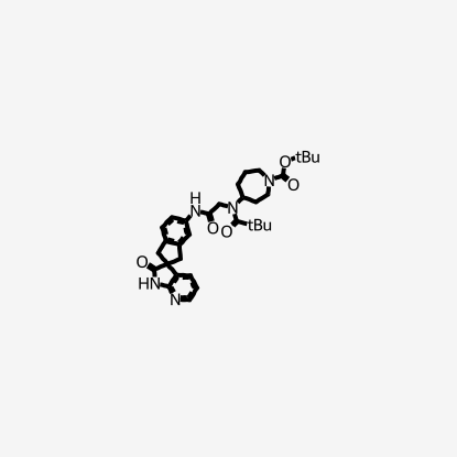 CC(C)(C)OC(=O)N1CCCC(N(CC(=O)Nc2ccc3c(c2)CC2(C3)C(=O)Nc3ncccc32)C(=O)C(C)(C)C)CC1